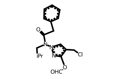 CC(C)CN(C(=O)Cc1ccccc1)n1cc(CCl)c(OC=O)n1